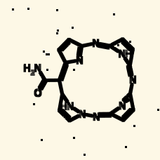 NC(=O)C1=C2C=CC(=N2)N=c2ccc([nH]2)=NC2=NC(=NN3C=CC1N3)C=C2